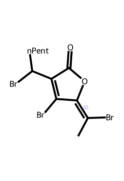 CCCCCC(Br)C1=C(Br)/C(=C(\C)Br)OC1=O